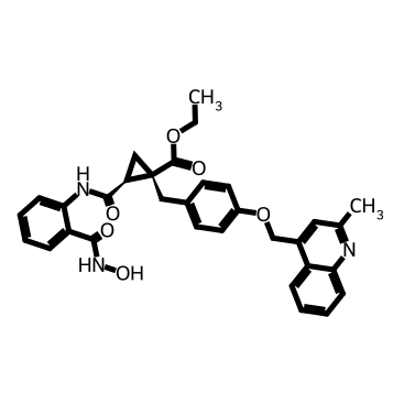 CCOC(=O)[C@@]1(Cc2ccc(OCc3cc(C)nc4ccccc34)cc2)C[C@@H]1C(=O)Nc1ccccc1C(=O)NO